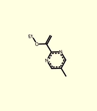 C=C(OCC)c1ncc(C)cn1